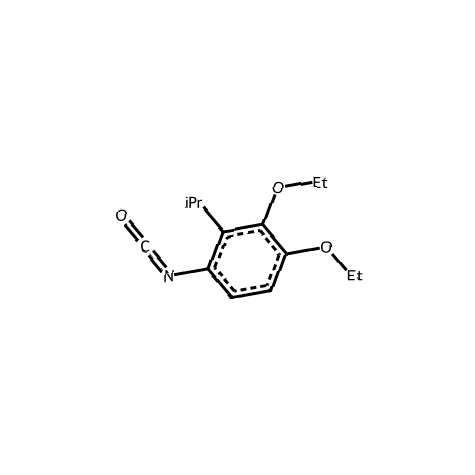 CCOc1ccc(N=C=O)c(C(C)C)c1OCC